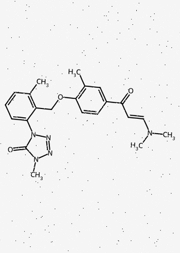 Cc1cc(C(=O)C=CN(C)C)ccc1OCc1c(C)cccc1-n1nnn(C)c1=O